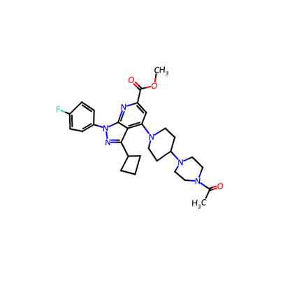 COC(=O)c1cc(N2CCC(N3CCN(C(C)=O)CC3)CC2)c2c(C3CCC3)nn(-c3ccc(F)cc3)c2n1